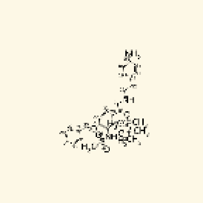 CC(C)(C)[Si](C)(C)O[C@H](CNCCc1ccc(N)cc1)c1ccc(OCc2ccccc2)c(NS(C)(=O)=O)c1